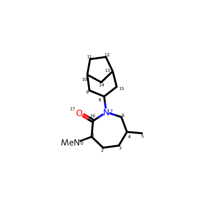 CNC1CCC(C)CN(C2CC3CCC(C3)C2)C1=O